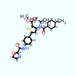 COC(=O)c1sc(-c2ccc(NC(=O)c3ncco3)cc2)cc1N(C(=O)C1CCC(C)CC1)C(C)C